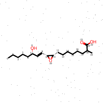 CCCCC[C@H](O)/C=C/[C@H]1O[C@H]1CCCCCCC(C)C(=O)O